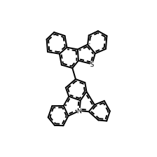 c1ccc2c(c1)cc(-c1cc3c4ccccc4n4c5ccccc5c(c1)c34)c1sc3ccccc3c12